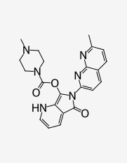 Cc1ccc2ccc(-n3c(OC(=O)N4CCN(C)CC4)c4[nH]cccc-4c3=O)nc2n1